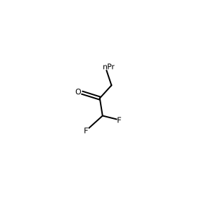 CCCCC(=O)C(F)F